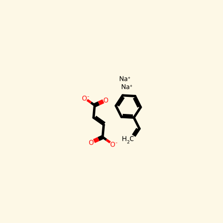 C=Cc1ccccc1.O=C([O-])C=CC(=O)[O-].[Na+].[Na+]